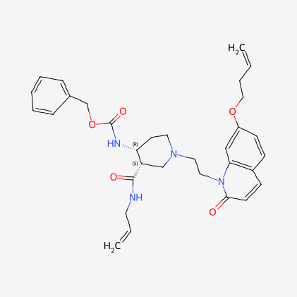 C=CCCOc1ccc2ccc(=O)n(CCN3CC[C@@H](NC(=O)OCc4ccccc4)[C@@H](C(=O)NCC=C)C3)c2c1